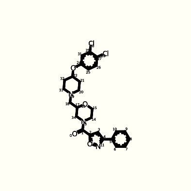 O=C(c1cc(-c2ccccc2)no1)N1CCOC(CN2CCC(Oc3ccc(Cl)c(Cl)c3)CC2)C1